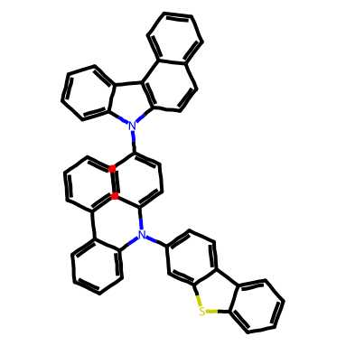 c1ccc(-c2ccccc2N(c2ccc(-n3c4ccccc4c4c5ccccc5ccc43)cc2)c2ccc3c(c2)sc2ccccc23)cc1